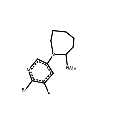 CNC1CCCCCN1c1cnc(Br)c(F)c1